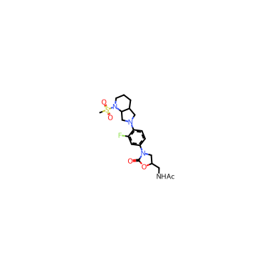 CC(=O)NCC1CN(c2ccc(N3CC4CCCN(S(C)(=O)=O)C4C3)c(F)c2)C(=O)O1